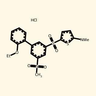 CCOc1ccccc1-c1cc(S(C)(=O)=O)cc(S(=O)(=O)c2ccc(NC)s2)c1.Cl